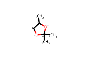 [CH2]C1COC(C)(C)O1